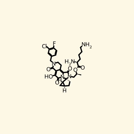 C[C@@H](CN1C(=O)c2c3c(c(O)c(=O)n2[C@@]12CC[C@H]1C[C@H]12)C(=O)N(Cc1ccc(F)c(Cl)c1)CC3)OC(=O)[C@@H](N)CCCCN